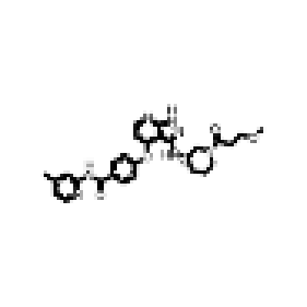 COCCC(=O)N1CCC[C@@H](Nc2n[nH]c3nccc(Oc4ccc(C(=O)Nc5cc(C)ccn5)cc4)c23)C1